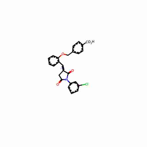 O=C(O)c1ccc(COc2ccccc2/C=C2\CC(=O)N(c3cccc(Cl)c3)C2=O)cc1